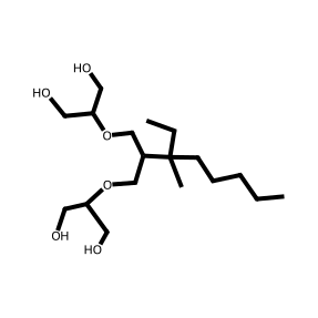 CCCCCC(C)(CC)C(COC(CO)CO)COC(CO)CO